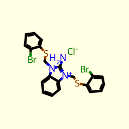 Nc1n(CSc2ccccc2Br)c2ccccc2[n+]1CSc1ccccc1Br.[Cl-]